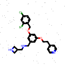 Clc1ccc(COc2cc(CNCC3CNC3)cc(OCCc3ccncc3)c2)c(Br)c1